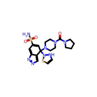 NS(=O)(=O)C1=CC(N2CCN(C(=O)N3CCCC3)CC2)(N2NC=CS2)C2=CN=NC2=C1